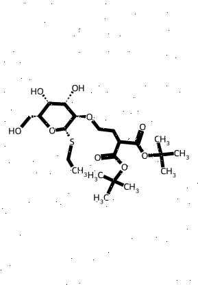 CCS[C@@H]1O[C@H](CO)[C@H](O)[C@H](O)[C@H]1OCCC(C(=O)OC(C)(C)C)C(=O)OC(C)(C)C